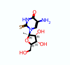 C[C@@]1(n2cc(N)c(=O)[nH]c2=S)O[C@H](CO)[C@@H](O)[C@H]1O